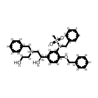 CS(=O)(=O)N(Cc1ccccc1)c1cc([C@@H](O)CN(CCO)Cc2ccccc2)ccc1OCc1ccccc1